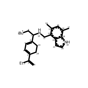 C=C(CC)C1=CC=C(C(CC(C)CC)NCc2c(C)cc(C)c3[nH]ccc23)CC1